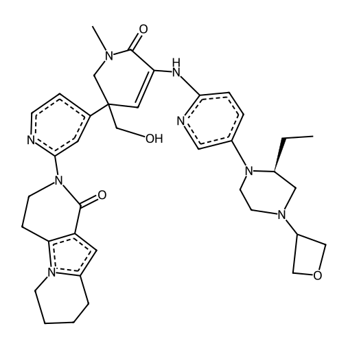 CC[C@H]1CN(C2COC2)CCN1c1ccc(NC2=CC(CO)(c3ccnc(N4CCc5c(cc6n5CCCC6)C4=O)c3)CN(C)C2=O)nc1